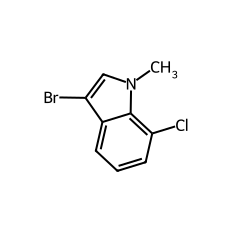 Cn1cc(Br)c2cccc(Cl)c21